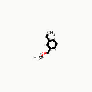 C=Cc1cccc(CO[SiH3])c1